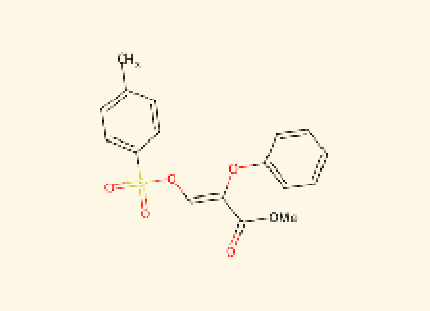 COC(=O)C(=COS(=O)(=O)c1ccc(C)cc1)Oc1ccccc1